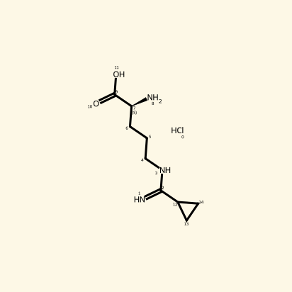 Cl.N=C(NCCC[C@H](N)C(=O)O)C1CC1